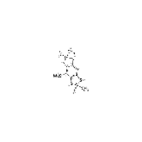 CSc1c2c(cc3c1SC(C)(C)S3)SC(C)(C)S2